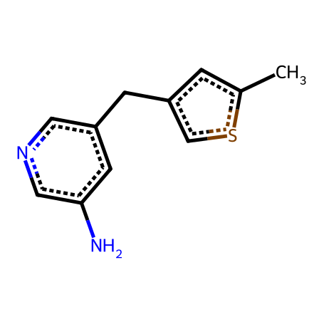 Cc1cc(Cc2cncc(N)c2)cs1